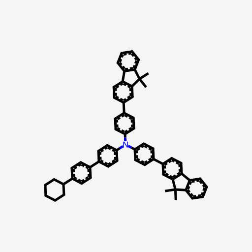 CC1(C)c2ccccc2-c2ccc(-c3ccc(N(c4ccc(-c5ccc(C6CCCCC6)cc5)cc4)c4ccc(-c5ccc6c(c5)C(C)(C)c5ccccc5-6)cc4)cc3)cc21